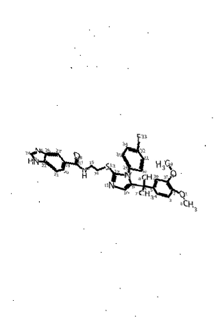 COc1ccc(C(C)(C)c2cnc(SCCNC(=O)c3ccc4[nH]cnc4c3)n2-c2ccc(F)cc2)cc1OC